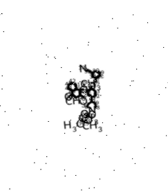 COc1cc(COC2CN(OC(=O)OC(C)(C)C)CCC2c2ccc(OCc3cccc(C#N)c3)cc2)c(OC)c2ccccc12